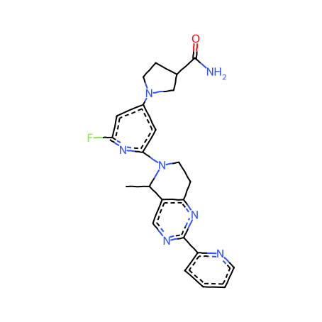 CC1c2cnc(-c3ccccn3)nc2CCN1c1cc(N2CCC(C(N)=O)C2)cc(F)n1